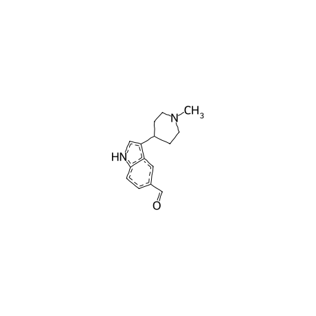 CN1CCC(c2c[nH]c3ccc(C=O)cc23)CC1